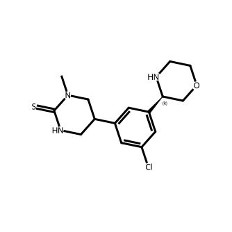 CN1CC(c2cc(Cl)cc([C@@H]3COCCN3)c2)CNC1=S